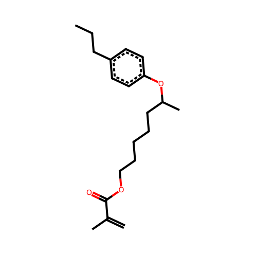 C=C(C)C(=O)OCCCCCC(C)Oc1ccc(CCC)cc1